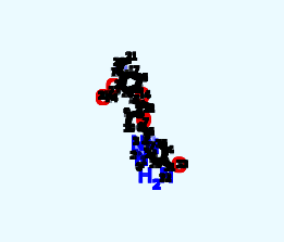 C=N/C=N\C(=C/COC(CC)C(C)(C)Oc1ccc(/C=C\C)c(OC=O)c1)N1CCC(C(N)=O)CC1